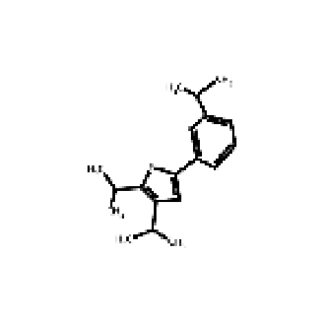 CC(C)c1cccc(-c2cc(C(C)C)c(C(C)C)s2)c1